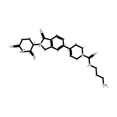 CCCCOC(=O)N1CC=C(c2ccc3c(c2)CN(C2CCC(=O)NC2=O)C3=O)CC1